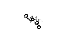 FC(F)(F)c1cc(-c2ccccc2)nnc1N[C@H]1C[C@@H]2CN(Cc3ccccn3)C[C@@H]2C1